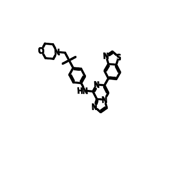 CC(C)(CN1CCOCC1)c1ccc(Nc2nc(-c3ccc4scnc4c3)cn3ccnc23)cc1